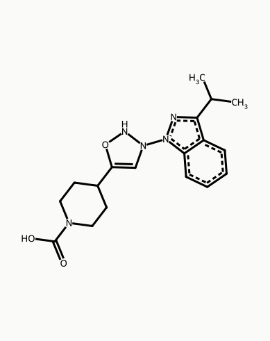 CC(C)c1nn(N2C=C(C3CCN(C(=O)O)CC3)ON2)c2ccccc12